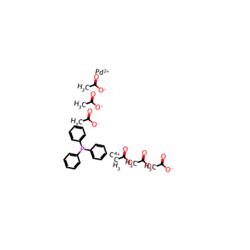 CC(=O)[O-].CC(=O)[O-].CC(=O)[O-].CC(=O)[O-].CC(=O)[O-].CC(=O)[O-].[C+4].[Pd+2].c1ccc(P(c2ccccc2)c2ccccc2)cc1